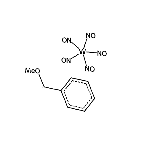 CO[C]c1ccccc1.O=[N][W]([N]=O)([N]=O)([N]=O)[N]=O